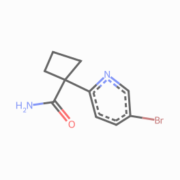 NC(=O)C1(c2ccc(Br)cn2)CCC1